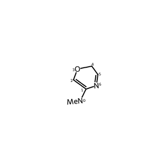 CNC1=COCC=N1